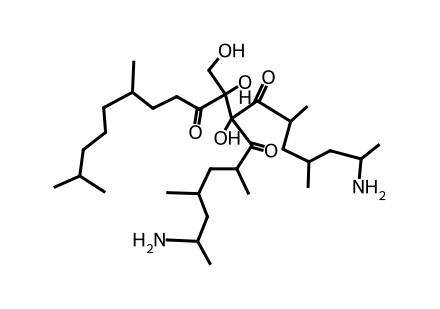 CC(C)CCCC(C)CCC(=O)C(O)(CO)C(O)(C(=O)C(C)CC(C)CC(C)N)C(=O)C(C)CC(C)CC(C)N